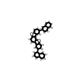 c1ccc2cc(-c3ccc4oc5ccc6c7cc(-c8cccc9ccccc89)ccc7oc6c5c4c3)ccc2c1